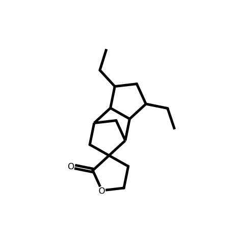 CCC1CC(CC)C2C1C1CC2C2(CCOC2=O)C1